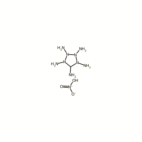 NC1N(N)N(N)N(N)N1N.O=[N+]([O-])O